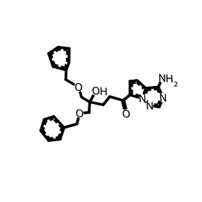 Nc1ncnn2c(C(=O)CCC(O)(COCc3ccccc3)COCc3ccccc3)ccc12